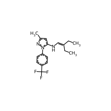 CCC(=CNc1cc(C)nn1-c1ccc(C(F)(F)F)cc1)CC